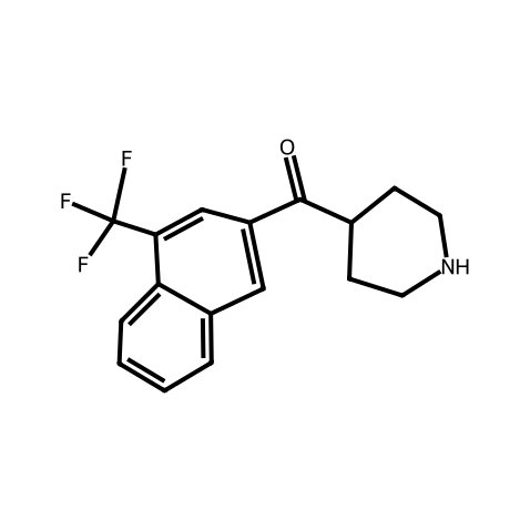 O=C(c1cc(C(F)(F)F)c2ccccc2c1)C1CCNCC1